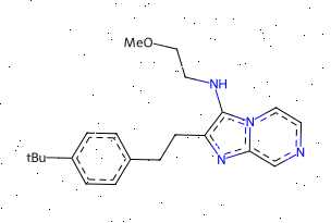 COCCNc1c(CCc2ccc(C(C)(C)C)cc2)nc2cnccn12